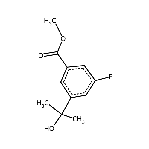 COC(=O)c1cc(F)cc(C(C)(C)O)c1